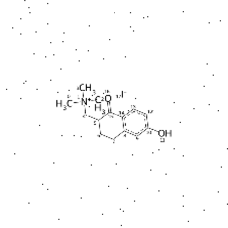 C[N+](C)(C)CC1CCc2cc(O)ccc2C1=O.[I-]